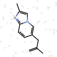 C=C(C)Cc1ccc2nc(C)cn2c1